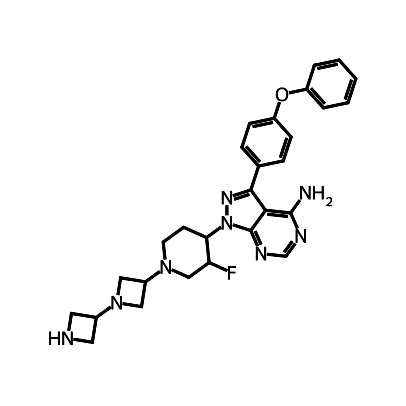 Nc1ncnc2c1c(-c1ccc(Oc3ccccc3)cc1)nn2C1CCN(C2CN(C3CNC3)C2)CC1F